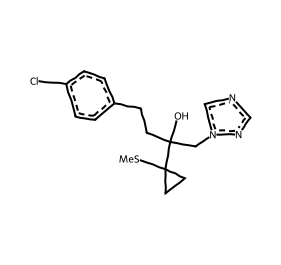 CSC1(C(O)(CCc2ccc(Cl)cc2)Cn2cncn2)CC1